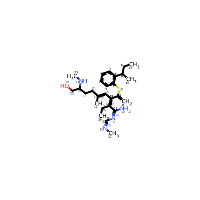 C=C(Sc1ccccc1C(C)CC)C(/C=C(\C)CCC(CO)NC)=C(CC)\C(N)=N/C=N\C